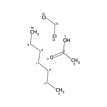 CC(=O)O.CCCCCCC.ClCCl